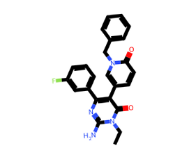 CCn1c(N)nc(-c2cccc(F)c2)c(-c2ccc(=O)n(Cc3ccccc3)c2)c1=O